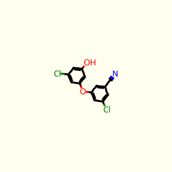 N#Cc1cc(Cl)cc(Oc2cc(O)cc(Cl)c2)c1